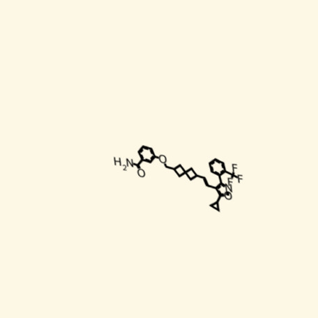 NC(=O)c1cccc(OCC2CC3(CC(C=Cc4c(-c5ccccc5C(F)(F)F)noc4C4CC4)C3)C2)c1